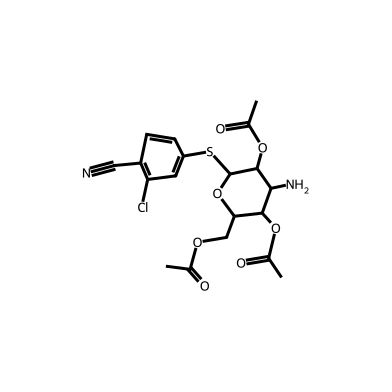 CC(=O)OCC1OC(Sc2ccc(C#N)c(Cl)c2)C(OC(C)=O)C(N)C1OC(C)=O